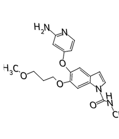 CNC(=O)n1ccc2cc(Oc3ccnc(N)c3)c(OCCCOC)cc21